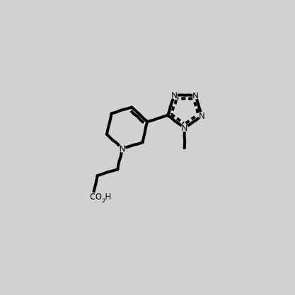 Cn1nnnc1C1=CCCN(CCC(=O)O)C1